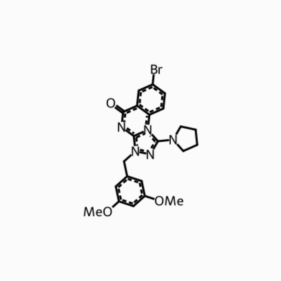 COc1cc(Cn2nc(N3CCCC3)n3c4ccc(Br)cc4c(=O)nc23)cc(OC)c1